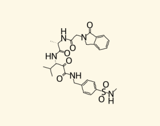 CNS(=O)(=O)c1ccc(CNC(=O)C(=O)[C@@H](NC(=O)[C@H](C)NC(=O)CN2Cc3ccccc3C2=O)C(C)C)cc1